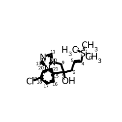 C[Si](C)(C)C=CCC(O)(Cn1cncn1)c1ccc(Cl)cc1